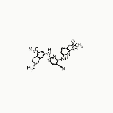 Cc1cc(Nc2ncc(C#N)c(Nc3ccc4c(n3)N[SH](C)(=O)C4)n2)cc2c1CCN(C)C2